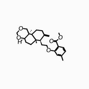 C=C1CCC2[C@]3(C)COCO[C@@H]3CC[C@@]2(C)[C@@H]1CCOc1cc(C)ccc1C(=O)OC